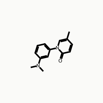 Cc1ccc(=O)n(-c2cccc(N(C)C)c2)c1